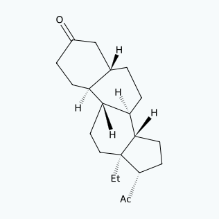 CC[C@]12CC[C@H]3[C@@H](CC[C@H]4CC(=O)CC[C@@H]43)[C@@H]1CC[C@@H]2C(C)=O